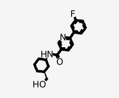 O=C(N[C@H]1CCC[C@H](CO)C1)c1ccc(-c2cccc(F)c2)nc1